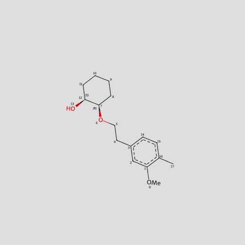 COc1cc(CCO[C@@H]2CCCC[C@@H]2O)ccc1C